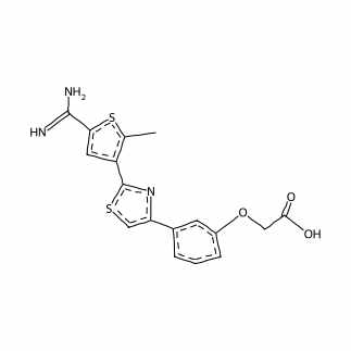 Cc1sc(C(=N)N)cc1-c1nc(-c2cccc(OCC(=O)O)c2)cs1